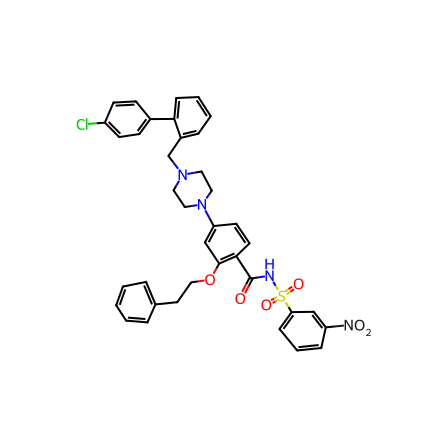 O=C(NS(=O)(=O)c1cccc([N+](=O)[O-])c1)c1ccc(N2CCN(Cc3ccccc3-c3ccc(Cl)cc3)CC2)cc1OCCc1ccccc1